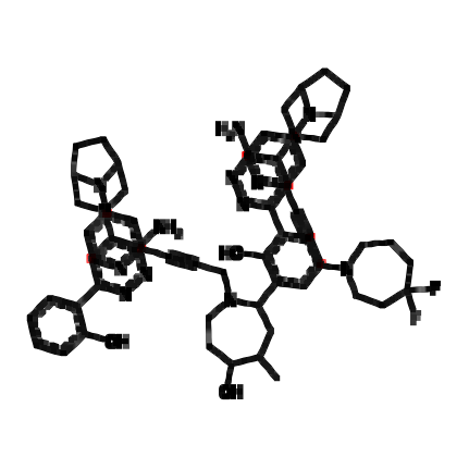 CC1CC(c2cccc(-c3cc(N4CC5CCC(C4)N5c4ccnc(C#CCN5CCCC(F)(F)CC5)c4)c(N)nn3)c2O)N(CC#Cc2cc(N3C4CCC3CN(c3cc(-c5ccccc5O)nnc3N)C4)ccn2)CCC1O